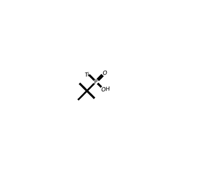 CC(C)(C)[P](=O)(O)[Ti]